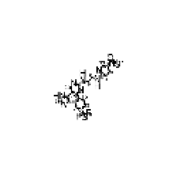 O=[N+]([O-])c1ccc(NCCNc2ncc(-c3cnc[nH]3)c(-c3ccc(C(F)(F)F)cc3)n2)nc1